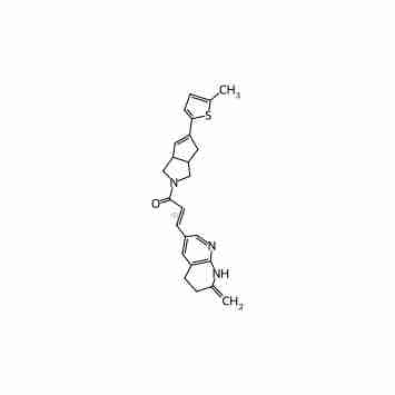 C=C1CCc2cc(/C=C/C(=O)N3CC4C=C(c5ccc(C)s5)CC4C3)cnc2N1